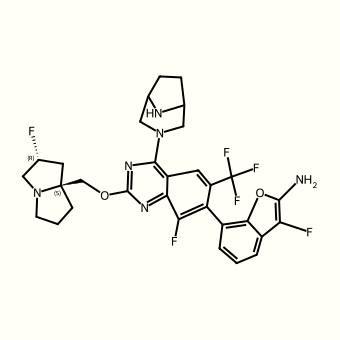 Nc1oc2c(-c3c(C(F)(F)F)cc4c(N5CC6CCC(C5)N6)nc(OC[C@@]56CCCN5C[C@H](F)C6)nc4c3F)cccc2c1F